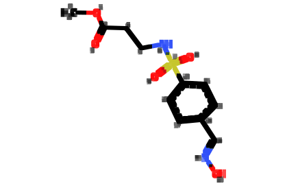 COC(=O)CCNS(=O)(=O)c1ccc(C=NO)cc1